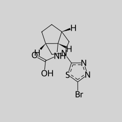 O=C(O)N[C@H]1[C@@H]2CC[C@H]1CN(c1nnc(Br)s1)C2